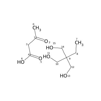 CC(=O)CC(=O)O.CCC(CO)(CO)CO